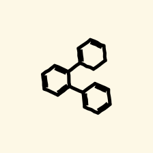 C1=CCCC(c2ccccc2-c2ccccc2)=C1